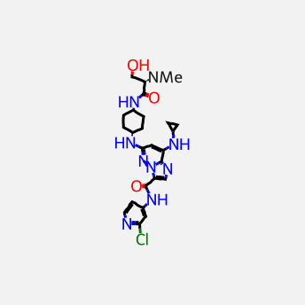 CN[C@@H](CO)C(=O)N[C@H]1CC[C@H](Nc2cc(NC3CC3)c3ncc(C(=O)Nc4ccnc(Cl)c4)n3n2)CC1